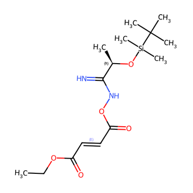 CCOC(=O)/C=C/C(=O)ONC(=N)[C@@H](C)O[Si](C)(C)C(C)(C)C